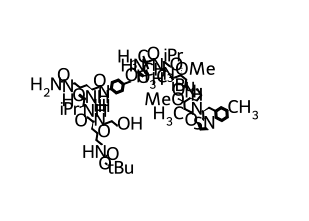 CC[C@H](C)[C@@H]([C@@H](CC(=O)N1CCC[C@H]1[C@H](OC)[C@@H](C)C(=O)N[C@@H](Cc1cccc(C)c1)c1nccs1)OC)N(C)C(=O)[C@@H](NC(=O)C(C)(C)NC(=O)OCc1ccc(NC(=O)[C@H](CCCNC(N)=O)NC(=O)[C@@H](NC(=O)[C@H](CCCCNC(=O)OC(C)(C)C)NC(=O)CCO)C(C)C)cc1)C(C)C